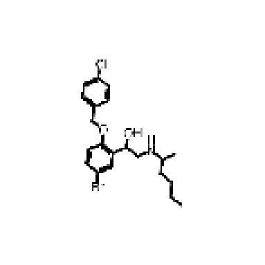 CCCCC(C)NCC(O)c1cc(Br)ccc1OCc1ccc(Cl)cc1